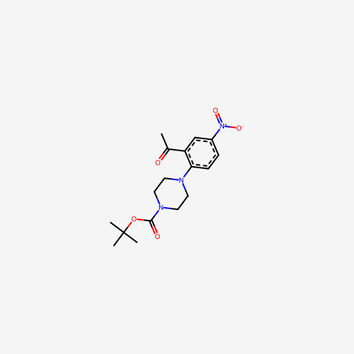 CC(=O)c1cc([N+](=O)[O-])ccc1N1CCN(C(=O)OC(C)(C)C)CC1